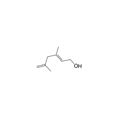 C=C(C)CC(C)=CCO